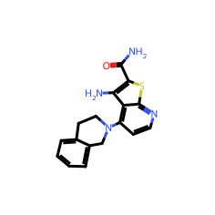 NC(=O)c1sc2nccc(N3CCc4ccccc4C3)c2c1N